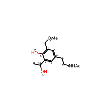 COCc1cc(CCNC(C)=O)cc(C(C)O)c1O